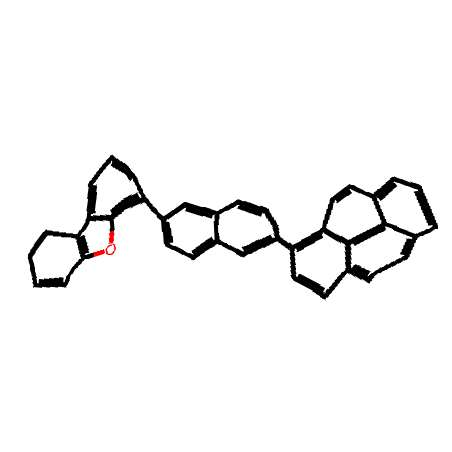 C1=Cc2oc3c(-c4ccc5cc(-c6ccc7ccc8cccc9ccc6c7c89)ccc5c4)cccc3c2CC1